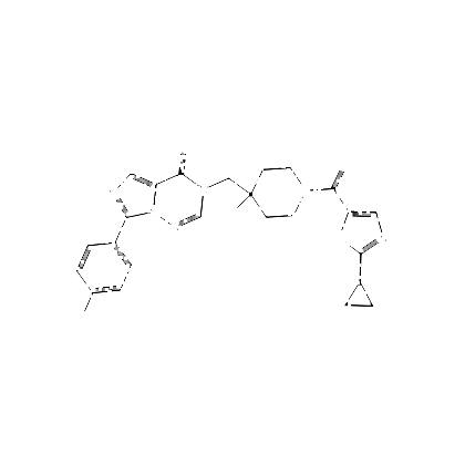 O=C(c1cnc(C2CC2)o1)N1CCC(O)(Cn2cnn3c(-c4ccc(F)cc4)ncc3c2=O)CC1